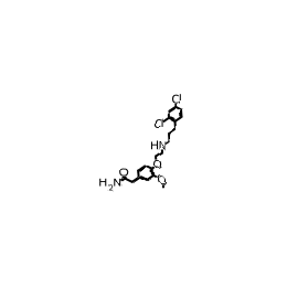 COc1cc(CC(N)=O)ccc1OCCNCCCc1ccc(Cl)cc1Cl